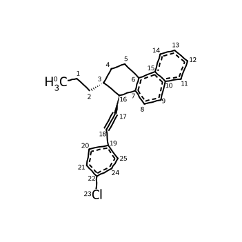 CCC[C@@H]1CCc2c(ccc3ccccc23)[C@H]1C#Cc1ccc(Cl)cc1